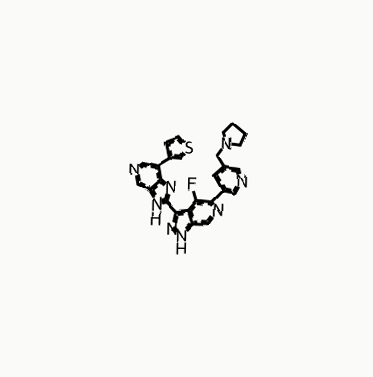 Fc1c(-c2cncc(CN3CCCC3)c2)ncc2[nH]nc(-c3nc4c(-c5ccsc5)cncc4[nH]3)c12